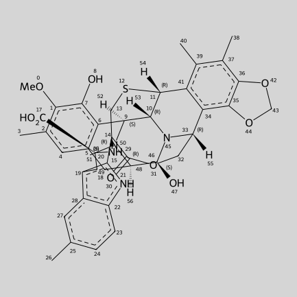 COc1c(C)cc2c(c1O)[C@H]1[C@@H]3[C@@H]4SC[C@]5(N[C@H](C(=O)O)Cc6c5[nH]c5ccc(C)cc65)C(=O)OC[C@@H](c5c6c(c(C)c(C)c54)OCO6)N3[C@@H](O)[C@@H](C2)N1C